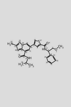 COCC(NC(=O)c1cc(-c2cc(C(=O)NC(C)C)c3nc(N)nn3c2)cs1)c1ccccc1